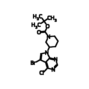 CC(C)(C)OC(=O)N1CCCC(n2cc(Br)c3c(Cl)ncnc32)C1